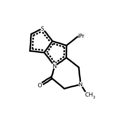 CC(C)c1c2n(c3ccsc13)C(=O)CN(C)C2